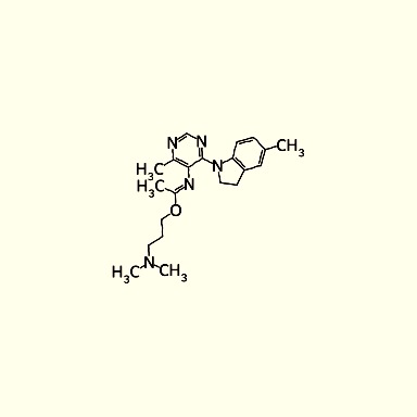 C/C(=N\c1c(C)ncnc1N1CCc2cc(C)ccc21)OCCCN(C)C